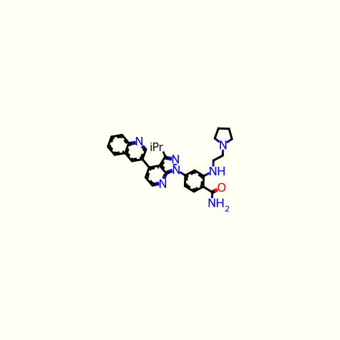 CC(C)c1nn(-c2ccc(C(N)=O)c(NCCN3CCCC3)c2)c2nccc(-c3cnc4ccccc4c3)c12